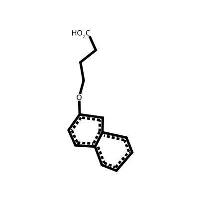 O=C(O)CCCOc1ccc2ccccc2c1